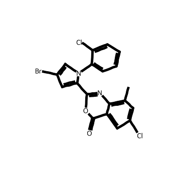 Cc1cc(Cl)cc2c(=O)oc(-c3cc(Br)cn3-c3ccccc3Cl)nc12